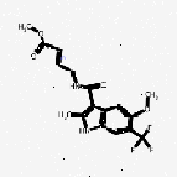 COC(=O)/C=C/CNC(=O)c1c(C)[nH]c2cc(C(F)(F)F)c(OC)cc12